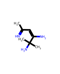 CC(=N)/C=C(/N)C(C)(C)N